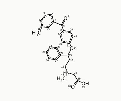 Cc1cccc(C(=O)c2ccc(OC(CCN(C)CC(=O)O)c3ccccc3)cc2)c1